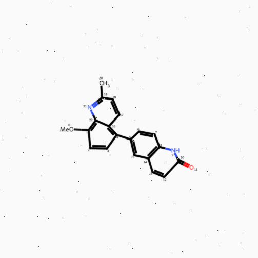 COc1ccc(-c2ccc3[nH]c(=O)ccc3c2)c2ccc(C)nc12